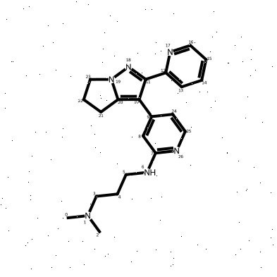 CN(C)CCCNc1cc(-c2c(-c3ccccn3)nn3c2CCC3)ccn1